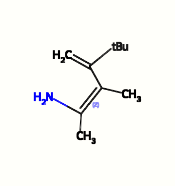 C=C(/C(C)=C(/C)N)C(C)(C)C